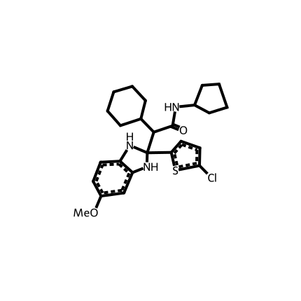 COc1ccc2c(c1)NC(c1ccc(Cl)s1)(C(C(=O)NC1CCCC1)C1CCCCC1)N2